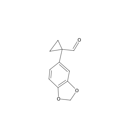 O=CC1(c2ccc3c(c2)OCO3)CC1